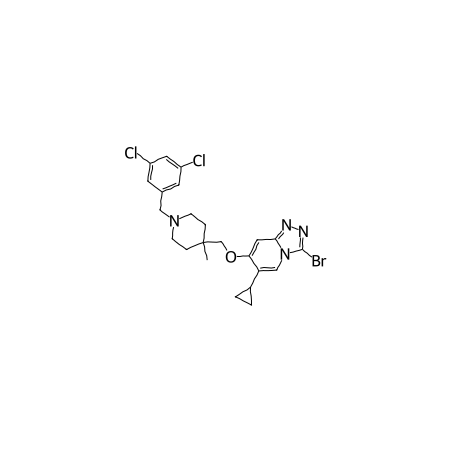 CC1(COc2cc3nnc(Br)n3cc2C2CC2)CCN(Cc2cc(Cl)cc(Cl)c2)CC1